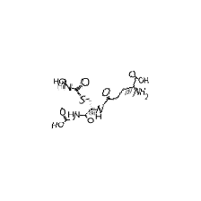 N[C@@H](CCC(=O)N[C@@H](CSC(=O)NO)C(=O)NCC(=O)O)C(=O)O